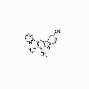 Cc1c(-c2ccccn2)cc2c(oc3ccc(C#N)cc32)c1C